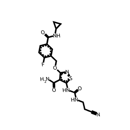 N#CCCNC(=O)Nc1snc(OCc2cc(C(=O)NC3CC3)ccc2F)c1C(N)=O